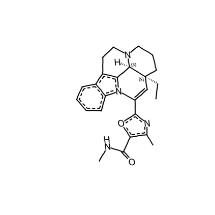 CC[C@@]12C=C(c3nc(C)c(C(=O)NC)o3)n3c4c(c5ccccc53)CCN(CCC1)[C@H]42